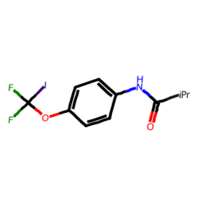 CC(C)C(=O)Nc1ccc(OC(F)(F)I)cc1